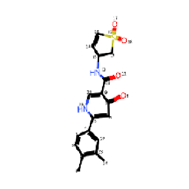 Cc1ccc(-c2cc(=O)c(C(=O)NC3C=CS(=O)(=O)C3)c[nH]2)cc1C